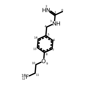 CC(=N)NCc1ccc(OCC[18F])cc1